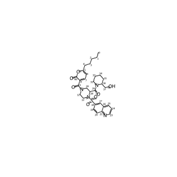 CCCCCc1ccc(C(=O)N2CCN(S(=O)(=O)c3ccc4ncccc4c3)C(C(=O)N3CCCCC3CO)C2)c(=O)o1